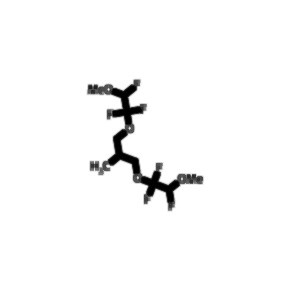 COC(F)C(F)(F)OCC(C)COC(F)(F)C(F)OC